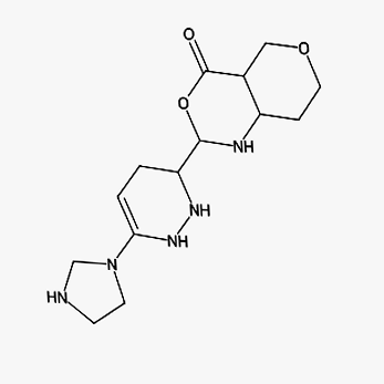 O=C1OC(C2CC=C(N3CCNC3)NN2)NC2CCOCC12